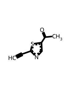 C#Cc1ncc(C(C)=O)s1